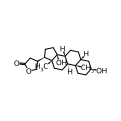 C[C@]12CC[C@H](O)C[C@H]1CC[C@@H]1[C@@H]2CC[C@]2(C)[C@@H](C3COC(=O)C3)CC[C@]12O